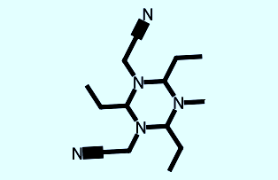 CCC1N(C)C(CC)N(CC#N)C(CC)N1CC#N